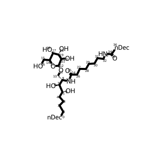 CCCCCCCCCCCCCC[C@@H](O)[C@@H](O)[C@H](CO[C@H]1OC(CO)[C@H](O)[C@H](O)C1O)NC(=O)CCCCCCCNC(=O)CCCCCCCCCC